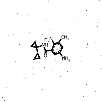 Cc1cc(N)cc(C(=O)NC2(C3CC3)CC2)c1N